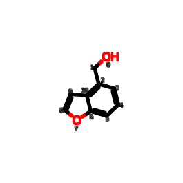 OCc1cccc2occc12